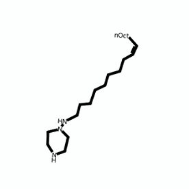 CCCCCCCC/C=C\CCCCCCCCNN1CCNCC1